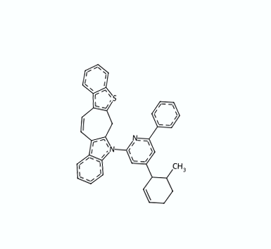 CC1CCC=CC1c1cc(-c2ccccc2)nc(-n2c3c(c4ccccc42)C=Cc2c(sc4ccccc24)C3)c1